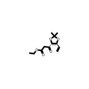 C=C[C@@H]1OC(C)(C)O[C@H]1C(=O)CC(=O)OCC